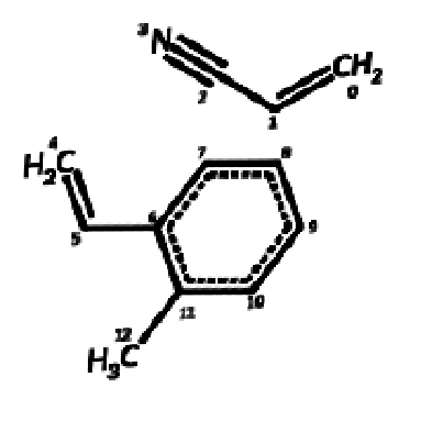 C=CC#N.C=Cc1ccccc1C